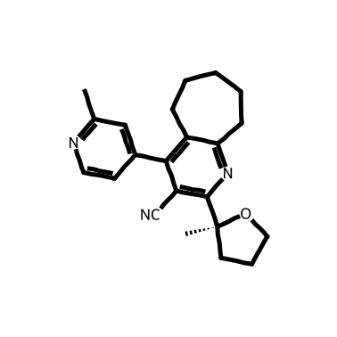 Cc1cc(-c2c(C#N)c([C@]3(C)CCCO3)nc3c2CCCCC3)ccn1